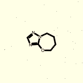 c1nc2n(n1)CCCCO2